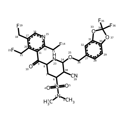 CN(C)S(=O)(=O)C1CC(C(=O)c2c(CF)ncc(CF)c2CF)NC(OCc2ccc3c(c2)OC(F)(F)O3)C1C#N